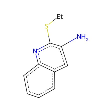 CCSc1nc2ccccc2cc1N